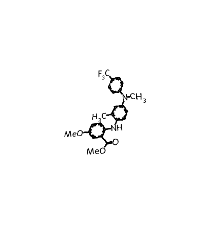 COC(=O)c1cc(OC)ccc1Nc1ccc(N(C)c2ccc(C(F)(F)F)cc2)cc1C